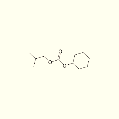 CC(C)COC(=O)OC1CCCCC1